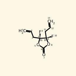 C=CC[C@@]1(F)OC(=O)O[C@@]1(F)CC=C